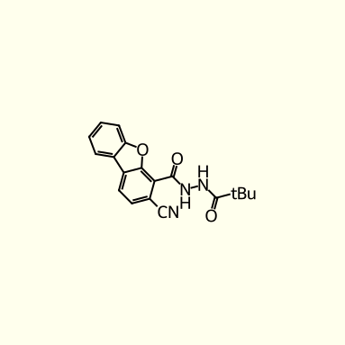 CC(C)(C)C(=O)NNC(=O)c1c(C#N)ccc2c1oc1ccccc12